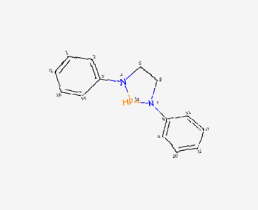 c1ccc(N2CCN(c3ccccc3)P2)cc1